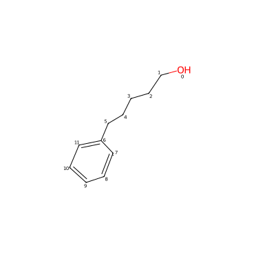 OCCCCCc1[c]cccc1